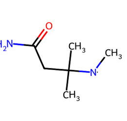 C[N]C(C)(C)CC(N)=O